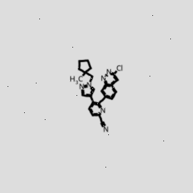 CC1(Cn2cc(-c3ccc(C#N)nc3-c3ccc4cc(Cl)nnc4c3)cn2)CCCC1